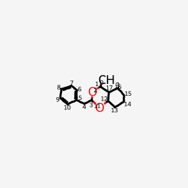 CC1OC(Cc2ccccc2)OC2CCCCC12